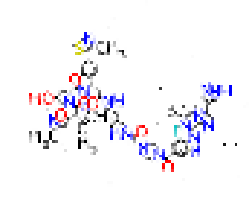 Cc1cc([C@H](C(=O)N2C[C@H](O)C[C@H]2C(=O)N[C@@H](CC(=O)NCCCCNC(=O)CN2CCN(C(=O)c3ccc(Nc4nc(C5CC5)cn5c(-c6cn[nH]c6)cnc45)c(F)c3)CC2)c2ccc(-c3scnc3C)cc2)C(C)C)on1